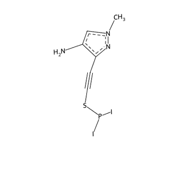 Cn1cc(N)c(C#CSP(I)I)n1